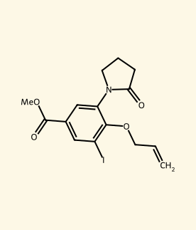 C=CCOc1c(I)cc(C(=O)OC)cc1N1CCCC1=O